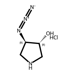 Cl.[N-]=[N+]=N[C@@H]1CNC[C@H]1O